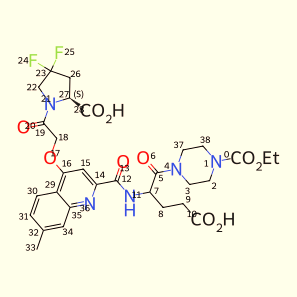 CCOC(=O)N1CCN(C(=O)C(CCC(=O)O)NC(=O)c2cc(OCC(=O)N3CC(F)(F)C[C@H]3C(=O)O)c3ccc(C)cc3n2)CC1